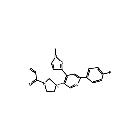 C=CC(=O)N1CC[C@@H](c2cnc(-c3ccc(F)cc3)cc2-c2ccn(C)n2)C1